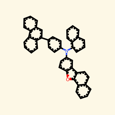 c1ccc2c(N(c3ccc(-c4cc5ccccc5c5ccccc45)cc3)c3ccc4oc5c6ccccc6ccc5c4c3)cccc2c1